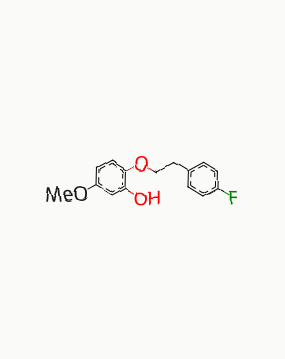 COc1ccc(OCCc2ccc(F)cc2)c(O)c1